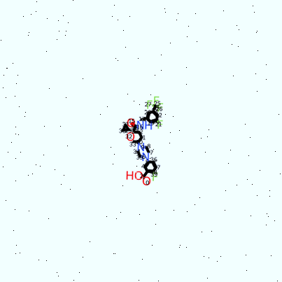 O=C(O)c1cc(N2CCN([C@@H]3CC[C@@](C(=O)NCc4cc(F)cc(C(F)(F)F)c4)(C4CC4)OC3)CC2)ccc1F